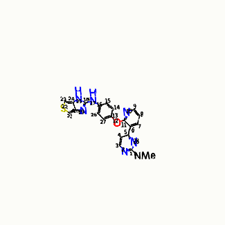 CNc1nccc(-c2cccnc2Oc2ccc(Nc3nc4cscc4[nH]3)cc2)n1